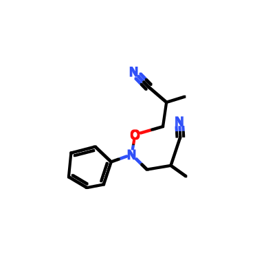 CC(C#N)CON(CC(C)C#N)c1ccccc1